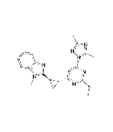 CSc1nc([C@@H]2C[C@H]2c2nc3ccccc3n2C)cc(-n2nc(C)nc2C)n1